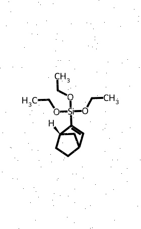 CCO[Si](OCC)(OCC)C1=CC2CC[C@H]1C2